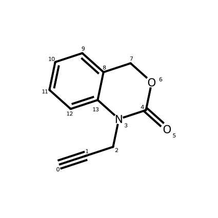 C#CCN1C(=O)OCc2ccccc21